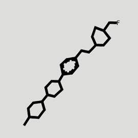 CC1CCC(C2CCC(c3ccc(CCC4CCC(CF)CC4)cc3)CC2)CC1